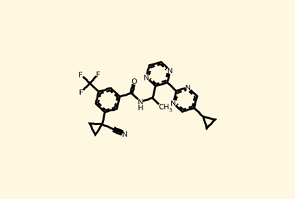 CC(NC(=O)c1cc(C(F)(F)F)cc(C2(C#N)CC2)c1)c1nccnc1-c1ncc(C2CC2)cn1